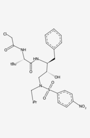 CC(C)CN(C[C@@H](O)[C@H](Cc1ccccc1)NC(=O)[C@@H](NC(=O)CCl)C(C)(C)C)S(=O)(=O)c1ccc([N+](=O)[O-])cc1